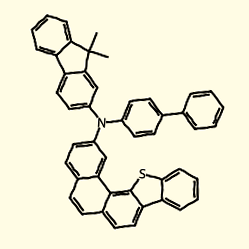 CC1(C)c2ccccc2-c2ccc(N(c3ccc(-c4ccccc4)cc3)c3ccc4ccc5ccc6c7ccccc7sc6c5c4c3)cc21